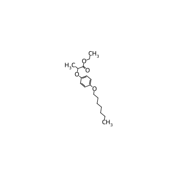 CCCCCCCOc1ccc(OC(C)C(=O)OCC)cc1